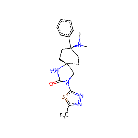 CN(C)[C@]1(c2ccccc2)CC[C@@]2(CC1)CN(c1nnc(C(F)(F)F)s1)C(=O)N2